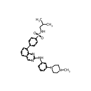 CC(C)CNS(=O)(=O)c1ccc(-c2cccc3cnc(Nc4cccc(N5CCN(C)CC5)c4)nc23)cc1